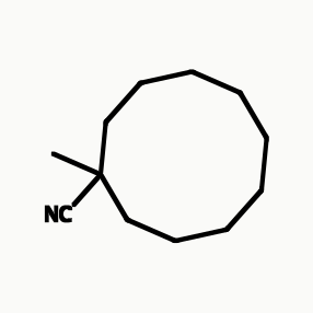 CC1(C#N)CCCCCCCCC1